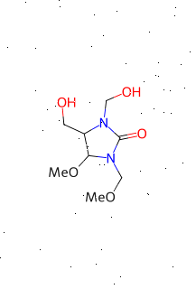 COCN1C(=O)N(CO)C(CO)C1OC